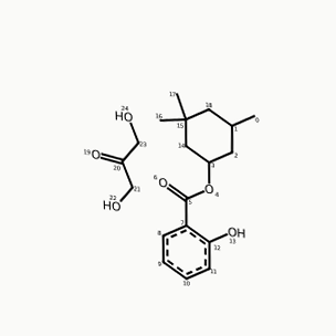 CC1CC(OC(=O)c2ccccc2O)CC(C)(C)C1.O=C(CO)CO